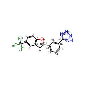 FC(F)(F)c1ccc2c(c1)C[C@@H](c1cccc(-c3nnn[nH]3)c1)O2